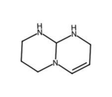 C1=CN2CCCNC2NC1